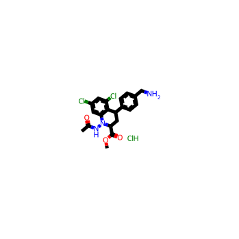 COC(=O)C1CC(c2ccc(CN)cc2)c2c(Cl)cc(Cl)cc2N1NC(C)=O.Cl